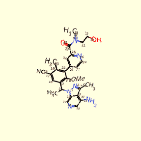 COc1c(C(C)n2nc(C)c3c(N)cncc32)cc(C#N)c(C)c1-c1ccnc(C(=O)N(C)CCO)c1